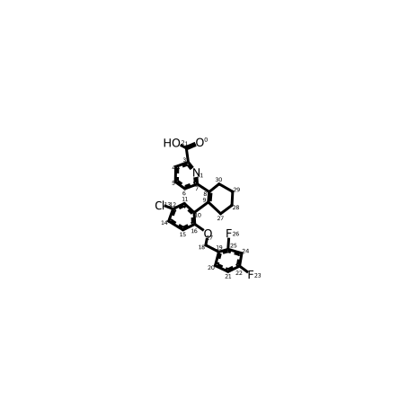 O=C(O)c1cccc(C2=C(c3cc(Cl)ccc3OCc3ccc(F)cc3F)CCCC2)n1